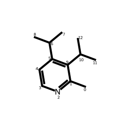 Cc1nccc(C(C)C)c1C(C)C